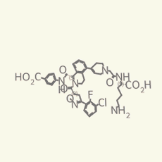 NCCCC[C@H](NC(=O)CN1CC=C(c2cccc3c2CCN(C(=O)[C@H]2CC(c4cccc(Cl)c4F)=NO2)[C@@H]3C(=O)Nc2ccc(C(=O)O)cc2)CC1)C(=O)O